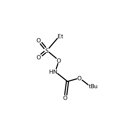 CCS(=O)(=O)ONC(=O)OC(C)(C)C